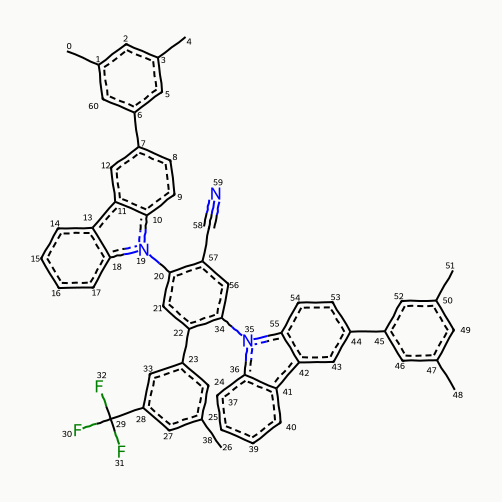 Cc1cc(C)cc(-c2ccc3c(c2)c2ccccc2n3-c2cc(-c3cc(C)cc(C(F)(F)F)c3)c(-n3c4ccccc4c4cc(-c5cc(C)cc(C)c5)ccc43)cc2C#N)c1